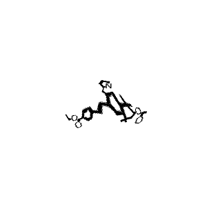 CCOC(=O)c1ccc(/C=C/c2cc3c(cc2C[C@H]2C=CC=N2)C(C)(C)C(OC(C)=O)CC3(C)C)cc1